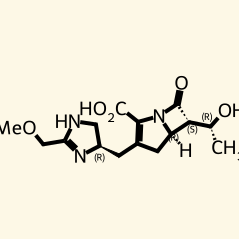 COCC1=N[C@H](CC2=C(C(=O)O)N3C(=O)[C@H]([C@@H](C)O)[C@H]3C2)CN1